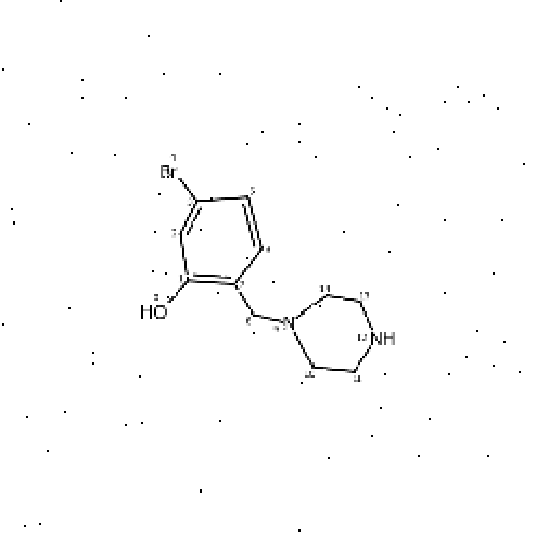 Oc1cc(Br)ccc1CN1CCNCC1